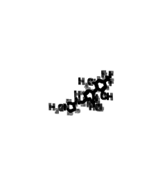 Cc1cc(C(F)(F)F)cc(O)c1-c1ccc(CNC2CCN(C)C2)nn1.Cl.Cl